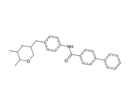 CC1[C]C(Cc2ccc(NC(=O)c3ccc(-c4ccccc4)cc3)cc2)COC1C